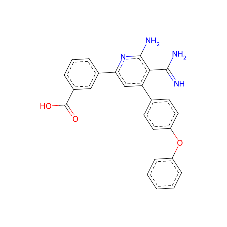 N=C(N)c1c(-c2ccc(Oc3ccccc3)cc2)cc(-c2cccc(C(=O)O)c2)nc1N